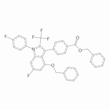 O=C(OCc1ccccc1)c1ccc(-c2c(C(F)(F)F)n(-c3ccc(F)cc3)c3cc(F)cc(OCc4ccccc4)c23)cc1